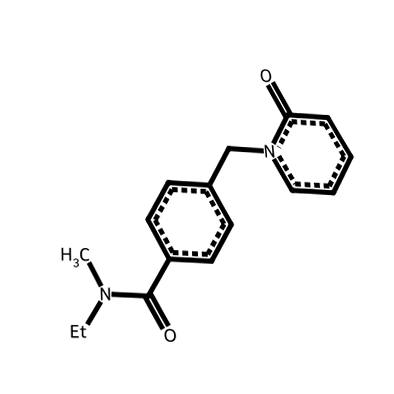 CCN(C)C(=O)c1ccc(Cn2ccccc2=O)cc1